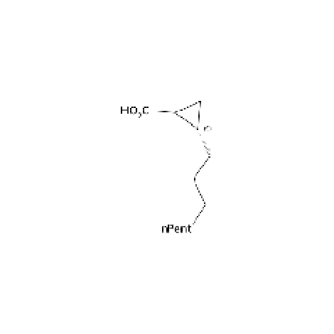 CCCCCCCC[C@H]1CC1C(=O)O